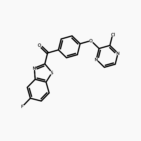 O=C(c1ccc(Oc2nccnc2Cl)cc1)c1nc2cc(F)ccc2s1